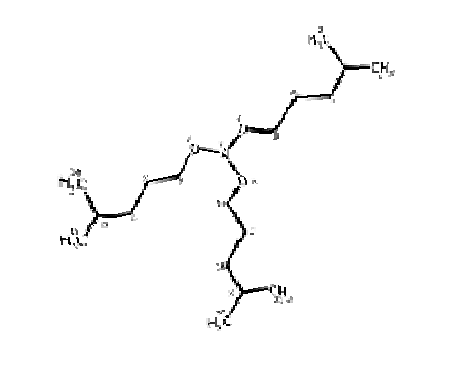 CC(C)CCC[O][Al]([O]CCCC(C)C)[O]CCCC(C)C